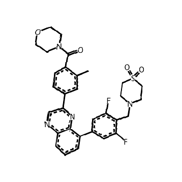 Cc1cc(-c2cnc3cccc(-c4cc(F)c(CN5CCS(=O)(=O)CC5)c(F)c4)c3n2)ccc1C(=O)N1CCOCC1